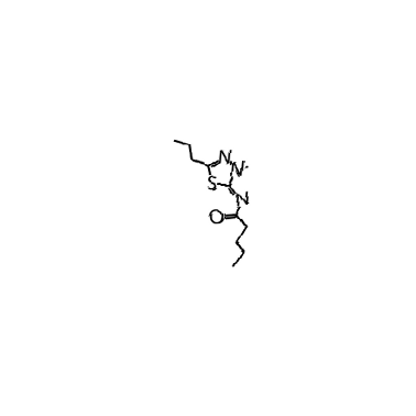 CCCCC(=O)N=C1[N]N=C(CCC)S1